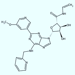 C=CNC(=O)[C@H]1O[C@@H](n2cnc3c(NCc4ccccn4)nc(-c4cncc(OC)c4)nc32)[C@H](O)[C@@H]1O